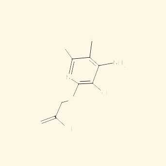 C=C(O)COc1nc(F)c(Cl)c(N)c1Cl